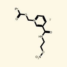 CC(C)C(=O)OC[n+]1cccc(C(=O)NCCO[N+](=O)[O-])c1.[I-]